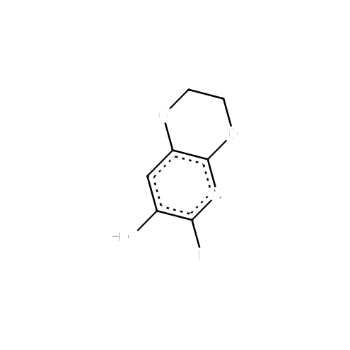 Cc1cc2c(nc1F)OCCO2